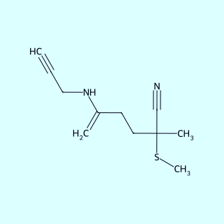 C#CCNC(=C)CCC(C)(C#N)SC